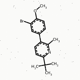 COc1ccc(-c2ccc(C(C)(C)C)nc2C)cc1Br